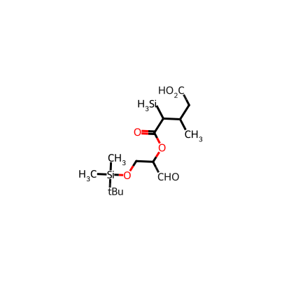 CC(CC(=O)O)C([SiH3])C(=O)OC(C=O)CO[Si](C)(C)C(C)(C)C